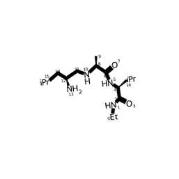 CCNC(=O)[C@@H](NC(=O)[C@H](C)NC[C@@H](N)CC(C)C)C(C)C